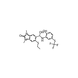 CCSc1cc2c(cc1C(O)Nc1cc(SC(F)(F)F)ccc1O)n(C)c(=O)n2C